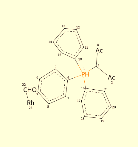 CC(=O)C(C(C)=O)[PH](c1ccccc1)(c1ccccc1)c1ccccc1.O=[CH][Rh]